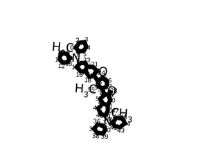 Cc1ccccc1N(c1ccccc1)c1ccc2cc3c(cc2c1)oc1cc2oc4cc5cc(N(c6ccccc6)c6ccccc6C)ccc5cc4c2c(C)c13